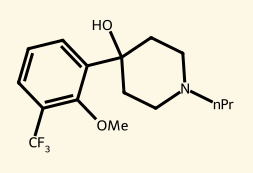 CCCN1CCC(O)(c2cccc(C(F)(F)F)c2OC)CC1